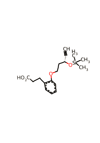 C#C[C@@H](CCOc1ccccc1CCC(=O)O)O[Si](C)(C)C